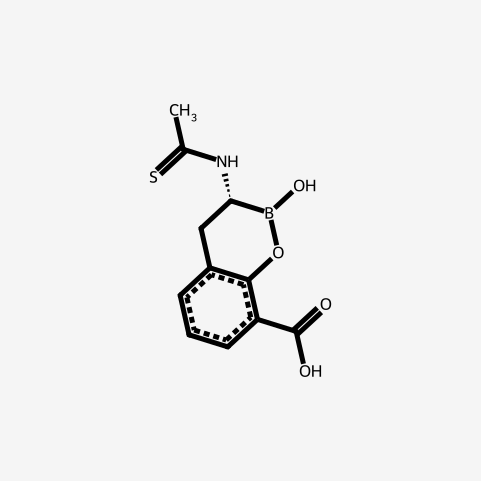 CC(=S)N[C@H]1Cc2cccc(C(=O)O)c2OB1O